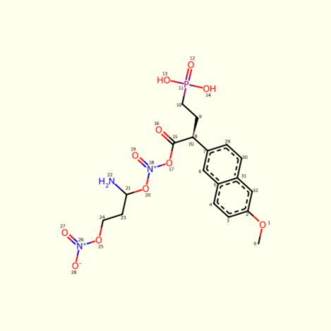 COc1ccc2cc([C@H](CCP(=O)(O)O)C(=O)O[N+](=O)OC(N)CCO[N+](=O)[O-])ccc2c1